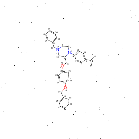 CC(C)c1ccc(N2CCN(Cc3ccccc3)CC2COc2ccc(OCc3ccccc3)cc2)cc1